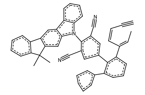 C#C/C=C\C(=C/C)c1cccc(-c2ccccc2)c1-c1cc(C#N)c(-n2c3ccccc3c3cc4c(cc32)C(C)(C)c2ccccc2-4)c(C#N)c1